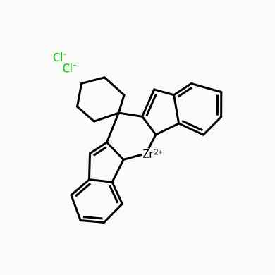 C1=C2[CH]([Zr+2][CH]3C(=Cc4ccccc43)C23CCCCC3)c2ccccc21.[Cl-].[Cl-]